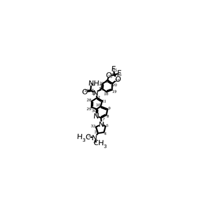 CN(C)C1CCN(c2ccc3cc(N(C(N)=O)c4ccc5c(c4)OC(F)(F)O5)ccc3n2)C1